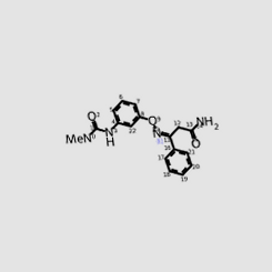 CNC(=O)Nc1cccc(O/N=C(\CC(N)=O)c2ccccc2)c1